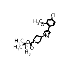 COc1cc(Cl)ccc1-c1cnn(C2CCN(C(=O)OC(C)(C)C)CC2)c1